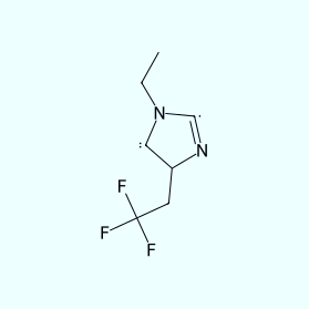 CCN1[C]C(CC(F)(F)F)N=[C]1